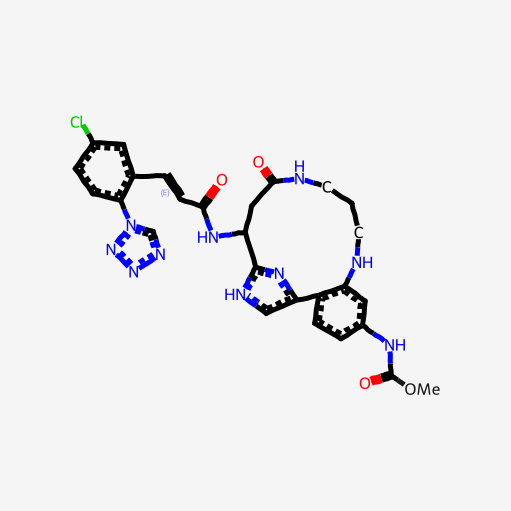 COC(=O)Nc1ccc2c(c1)NCCCNC(=O)CC(NC(=O)/C=C/c1cc(Cl)ccc1-n1cnnn1)c1nc-2c[nH]1